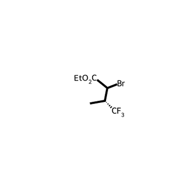 CCOC(=O)C(Br)[C@@H](C)C(F)(F)F